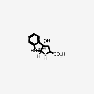 O=C(O)C1C[C@]2(O)c3ccccc3N[C@H]2N1